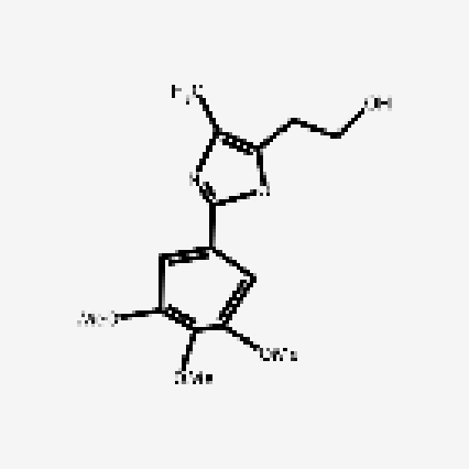 COc1cc(-c2nc(C)c(CCO)o2)cc(OC)c1OC